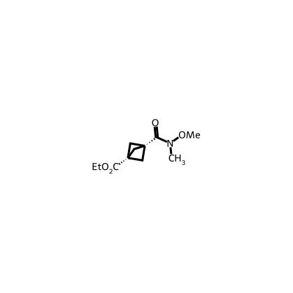 CCOC(=O)[C@]12C[C@](C(=O)N(C)OC)(C1)C2